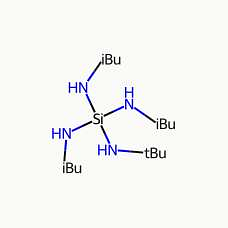 CCC(C)N[Si](NC(C)CC)(NC(C)CC)NC(C)(C)C